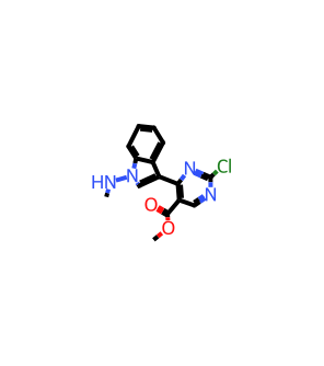 CNn1cc(-c2nc(Cl)ncc2C(=O)OC)c2ccccc21